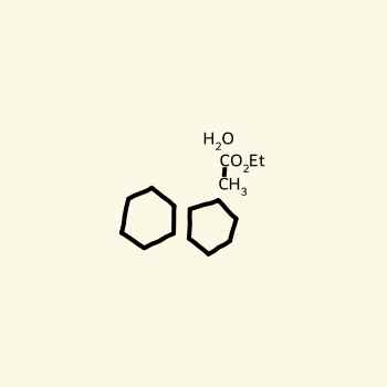 C1CCCCC1.C1CCCCC1.CCOC(C)=O.O